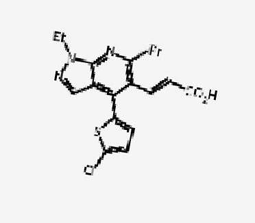 CCn1ncc2c(-c3ccc(Cl)s3)c(C=CC(=O)O)c(C(C)C)nc21